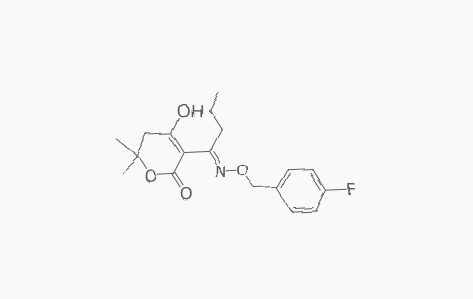 CCC/C(=N\OCc1ccc(F)cc1)C1=C(O)CC(C)(C)OC1=O